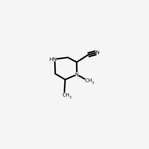 CC1CNCC(C#N)N1C